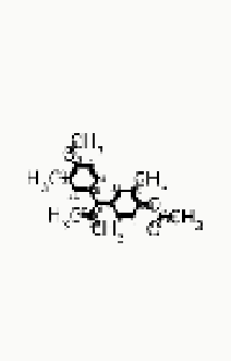 COc1ccc(C(c2ccc(OC(C)=O)c(C)c2)C(C)C)cc1C